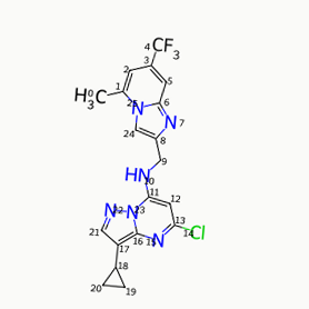 Cc1cc(C(F)(F)F)cc2nc(CNc3cc(Cl)nc4c(C5CC5)cnn34)cn12